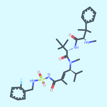 CN[C@H](C(=O)N[C@H](C(=O)N(C)[C@H](C=C(C)C(=O)NS(=O)(=O)NCc1ccccc1F)C(C)C)C(C)(C)C)C(C)(C)c1ccccc1